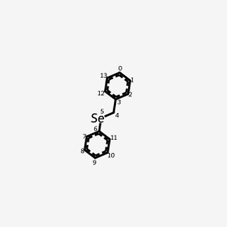 c1ccc(C[Se]c2ccccc2)cc1